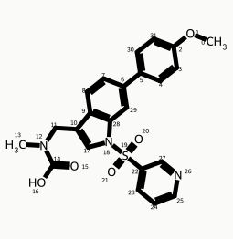 COc1ccc(-c2ccc3c(CN(C)C(=O)O)cn(S(=O)(=O)c4cccnc4)c3c2)cc1